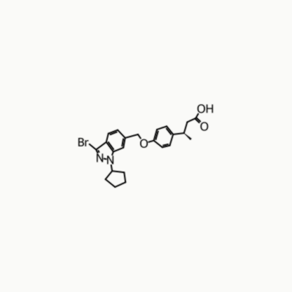 C[C@H](CC(=O)O)c1ccc(OCc2ccc3c(Br)nn(C4CCCC4)c3c2)cc1